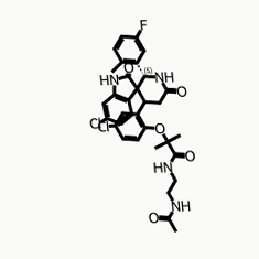 CC(=O)NCCNC(=O)C(C)(C)Oc1ccc(Cl)cc1C1CC(=O)N[C@@H](c2cc(F)ccc2C)C12C(=O)Nc1cc(Cl)ccc12